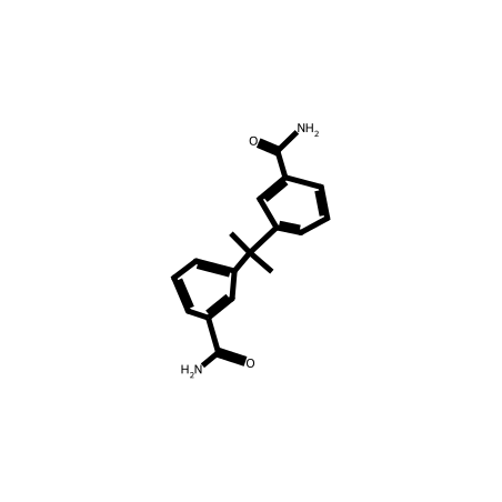 CC(C)(c1cccc(C(N)=O)c1)c1cccc(C(N)=O)c1